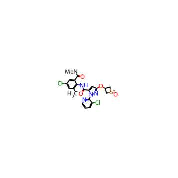 CNC(=O)c1cc(Cl)cc(C)c1NC(=O)c1cc(OC2C[S+]([O-])C2)nn1-c1ncccc1Cl